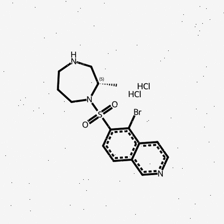 C[C@H]1CNCCCN1S(=O)(=O)c1ccc2cnccc2c1Br.Cl.Cl